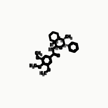 COc1cc(C(=O)N[C@@H]2O[C@@H](c3ccccc3)[C@@H](C)N3CCCC[C@@H]23)cc(OC)c1OC